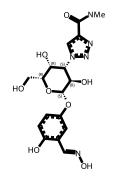 CNC(=O)c1cn([C@H]2[C@@H](O)[C@@H](CO)O[C@@H](Oc3ccc(O)c(C=NO)c3)[C@@H]2O)nn1